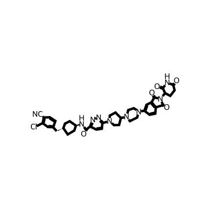 N#Cc1ccc(C[C@H]2CC[C@H](NC(=O)c3ccc(N4CCC(N5CCN(c6ccc7c(c6)C(=O)N(C6CCC(=O)NC6=O)C7=O)CC5)CC4)nn3)CC2)cc1Cl